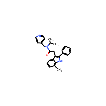 Cc1cccc2c(CC(=O)N(Cc3ccncc3)C(C)C)c(-c3ccccc3)[nH]c12